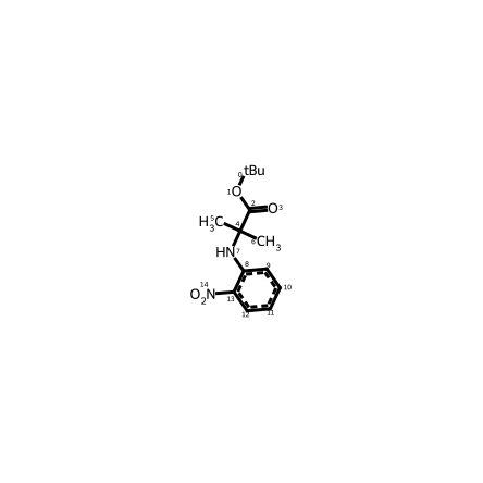 CC(C)(C)OC(=O)C(C)(C)Nc1ccccc1[N+](=O)[O-]